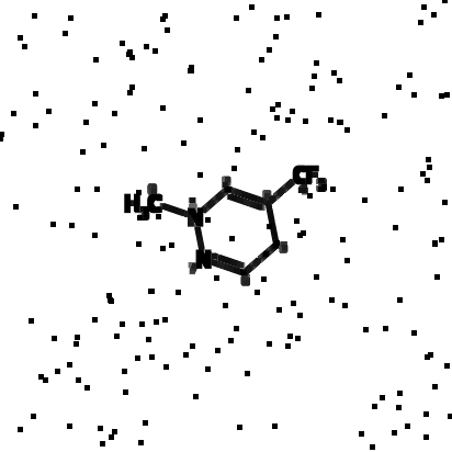 CN1C=C(C(F)(F)F)CC=N1